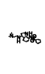 CN(C)CCNc1ccnc2c(NS(=O)(=O)c3ccccc3)cccc12